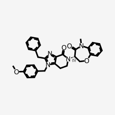 COc1ccc(Cn2c(Cc3ccccc3)nc3c2CCN([C@H]2COc4ccccc4N(C)C2=O)C3=O)cc1